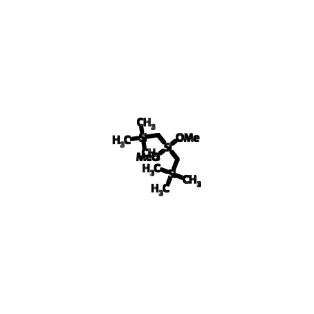 CO[Si](C[Si](C)(C)C)(C[Si](C)(C)C)OC